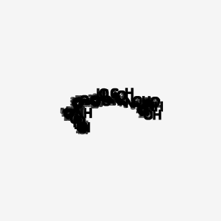 CC(=O)N(CCCNC[C@H](O)c1ccc(O)c2[nH]c(=O)ccc12)CCOC(=O)c1ccc(COc2cccc(C(NC(=O)O[C@H]3CN4CCC3CC4)c3ccccc3)c2)cc1